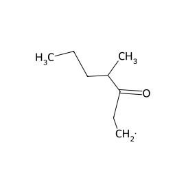 [CH2]CC(=O)C(C)CCC